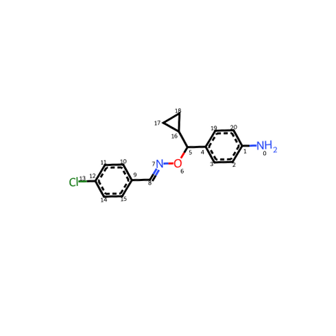 Nc1ccc(C(ON=Cc2ccc(Cl)cc2)C2CC2)cc1